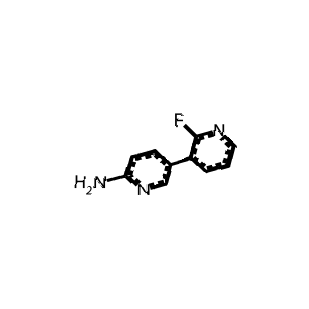 Nc1ccc(-c2cccnc2F)cn1